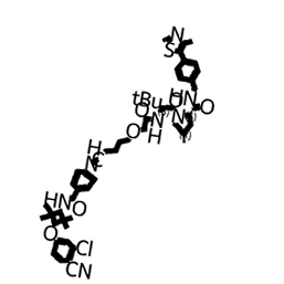 Cc1ncsc1-c1ccc(CNC(=O)[C@@H]2C[C@@H](C)CN2C(=O)[C@@H](NC(=O)COCCCCCNc2ccc(C(=O)N[C@H]3C(C)(C)[C@H](Oc4ccc(C#N)c(Cl)c4)C3(C)C)cc2)C(C)(C)C)cc1